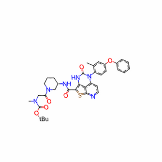 Cc1cc(Oc2ccccc2)ccc1N1C(=O)Nc2c(C(=O)N[C@@H]3CCCN(C(=O)CN(C)C(=O)OC(C)(C)C)C3)sc3nccc1c23